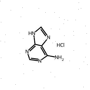 Cl.Nc1ncnc2[nH]cnc12